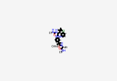 CCNC(=O)N[C@H](c1nc2ccc(C(C)(COC)C(=O)N[C@@H](C(=O)NCC)C(C)C)cc2[nH]1)[C@H](c1ccccc1Cl)C1(C)CC1